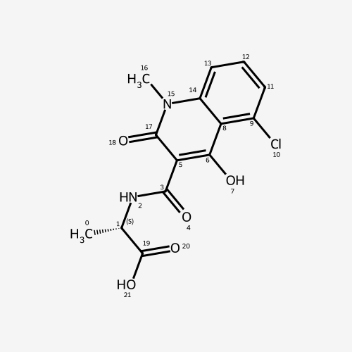 C[C@H](NC(=O)c1c(O)c2c(Cl)cccc2n(C)c1=O)C(=O)O